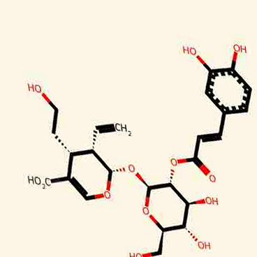 C=C[C@@H]1[C@H](O[C@@H]2O[C@H](CO)[C@@H](O)[C@H](O)[C@H]2OC(=O)/C=C/c2ccc(O)c(O)c2)OC=C(C(=O)O)[C@@H]1CCO